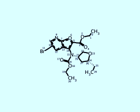 CCOC(=O)c1oc2ncc(Br)cc2c1N(C(=O)OCC)[C@@H]1CO[C@H](CC)C1